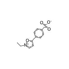 CC[n+]1ccc(-c2ccc(S(=O)(=O)[O-])cc2)o1